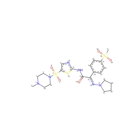 CN1CCN(S(=O)(=O)c2cnc(NC(=O)/C(=N/N3CCCC3)c3ccc(S(C)(=O)=O)cc3)s2)CC1